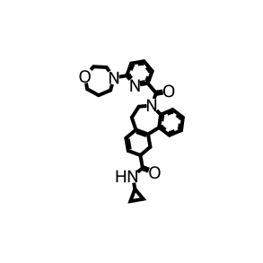 O=C(NC1CC1)C1C=CC2=C(C1)c1ccccc1N(C(=O)c1cccc(N3CCCOCC3)n1)CC2